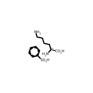 NCCCC[C@H](N)C(=O)O.O=S(=O)(O)c1ccccc1